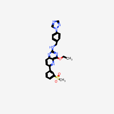 CCOc1nc(NCc2ccc(-n3cncn3)cc2)nc2ccc(-c3cccc(S(C)(=O)=O)c3)nc12